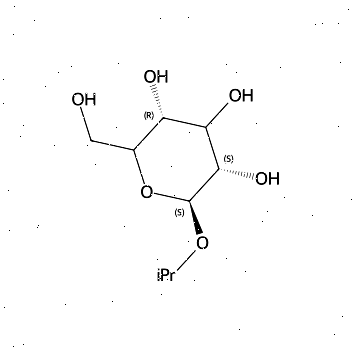 CC(C)O[C@H]1OC(CO)[C@H](O)C(O)[C@@H]1O